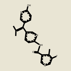 CC(C)=C(c1ccc(O)nc1)c1ccc(NC(=O)c2cncc(F)c2C)nc1